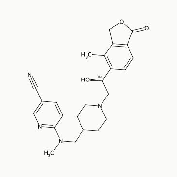 Cc1c([C@H](O)CN2CCC(CN(C)c3ccc(C#N)cn3)CC2)ccc2c1COC2=O